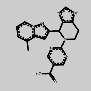 Cc1cccn2nc(C3c4nc[nH]c4CCN3c3ncc(C(=O)O)cn3)cc12